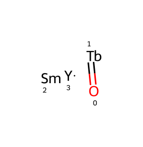 [O]=[Tb].[Sm].[Y]